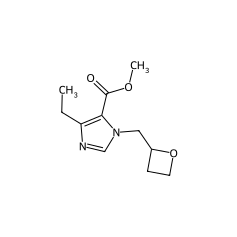 CCc1ncn(CC2CCO2)c1C(=O)OC